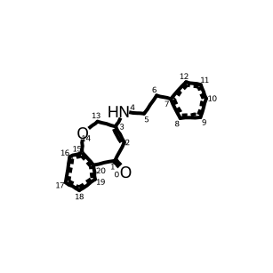 O=C1C=C(NCCc2ccccc2)COc2ccccc21